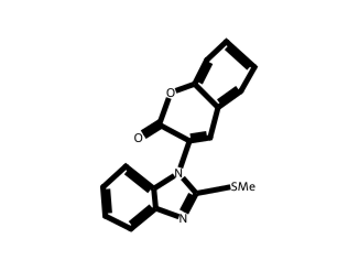 CSc1nc2ccccc2n1-c1cc2ccccc2oc1=O